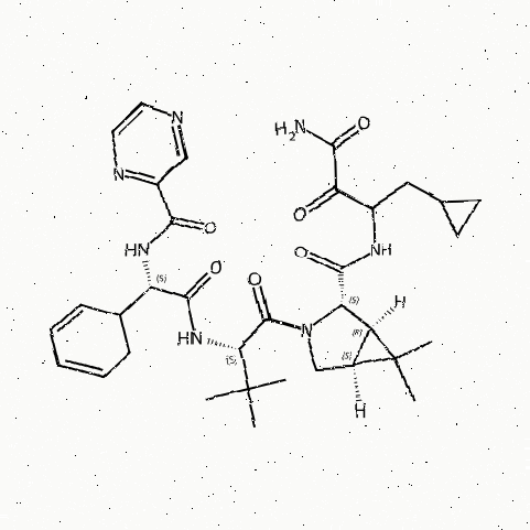 CC(C)(C)[C@H](NC(=O)[C@@H](NC(=O)c1cnccn1)C1C=CC=CC1)C(=O)N1C[C@H]2[C@@H]([C@H]1C(=O)NC(CC1CC1)C(=O)C(N)=O)C2(C)C